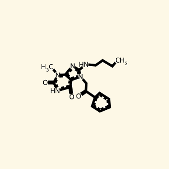 CCCCNc1nc2c(c(=O)[nH]c(=O)n2C)n1CC(=O)c1ccccc1